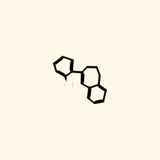 Oc1ccccc1C1=Cc2ccccc2CCC1